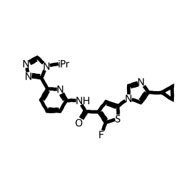 CC(C)n1cnnc1-c1cccc(NC(=O)c2cc(-n3cnc(C4CC4)c3)sc2F)n1